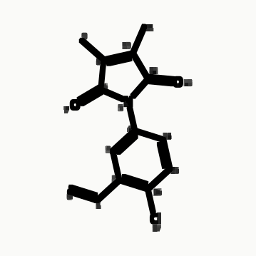 C=Cc1cc(N2C(=O)C(C)=C(C)C2=O)ccc1Cl